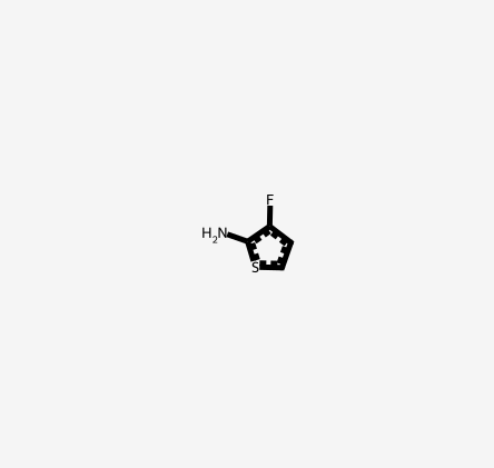 Nc1sccc1F